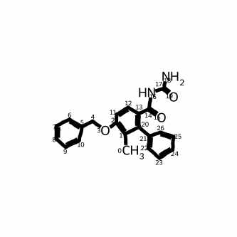 Cc1c(OCc2ccccc2)ccc(C(=O)NC(N)=O)c1-c1ccccc1